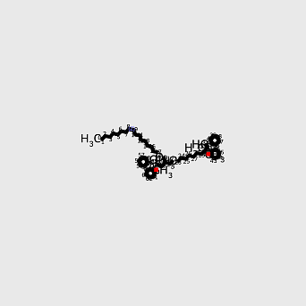 CCCCCCCC/C=C\CCCCCCCCOCC(COCCCCCCCC(C)(C)[Si](O)(c1ccccc1)c1ccccc1)CC(C)(C)[Si](O)(c1ccccc1)c1ccccc1